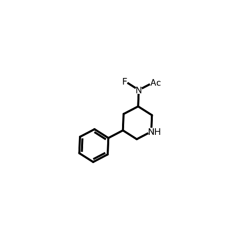 CC(=O)N(F)C1CNCC(c2ccccc2)C1